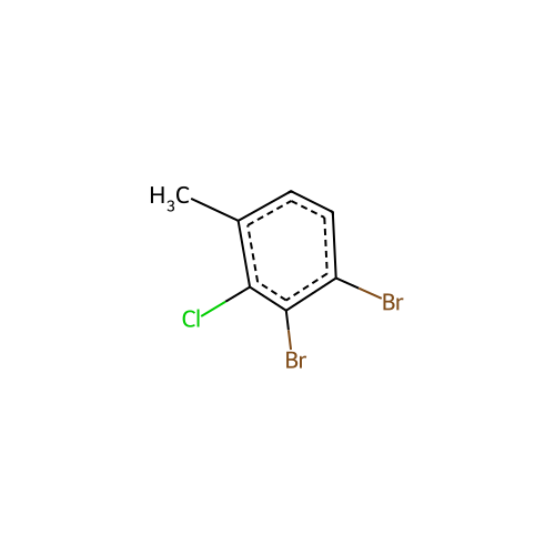 Cc1ccc(Br)c(Br)c1Cl